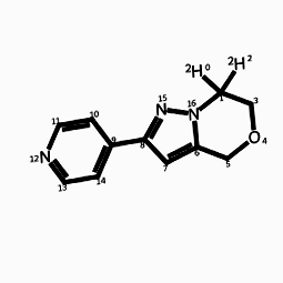 [2H]C1([2H])COCc2cc(-c3ccncc3)nn21